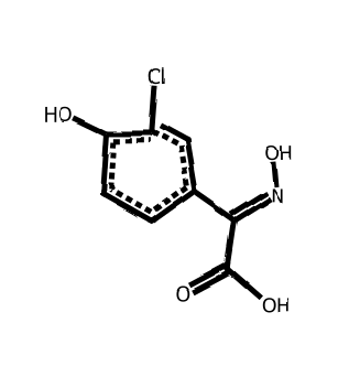 O=C(O)/C(=N/O)c1ccc(O)c(Cl)c1